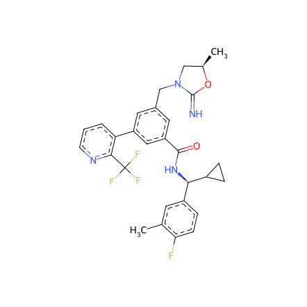 Cc1cc([C@@H](NC(=O)c2cc(CN3C[C@@H](C)OC3=N)cc(-c3cccnc3C(F)(F)F)c2)C2CC2)ccc1F